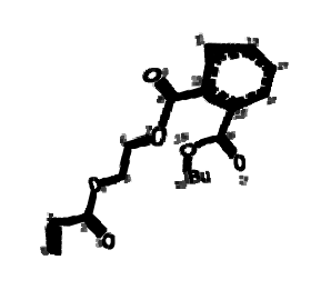 C=CC(=O)OCCOC(=O)c1ccccc1C(=O)OC(C)CC